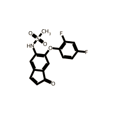 CS(=O)(=O)Nc1cc2c(cc1Oc1ccc(F)cc1F)C(=O)C=C2